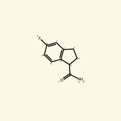 NC(=O)C1[CH]Cc2cc(F)ccc21